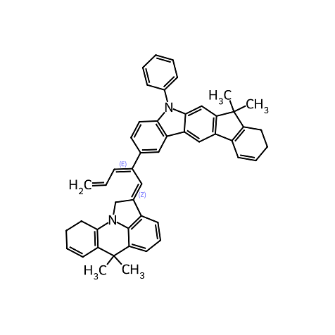 C=C/C=C(\C=C1/CN2C3=C(C=CCC3)C(C)(C)c3cccc1c32)c1ccc2c(c1)c1cc3c(cc1n2-c1ccccc1)C(C)(C)C1=C3C=CCC1